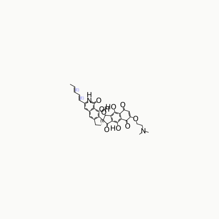 C/C=C/C=C/c1cc2cc3c(c(O)c2c(=O)[nH]1)[C@@]1(CC3)C(=O)c2c(O)c3c(c(O)c2C1=O)C(=O)C(OCCN(C)C)=CC3=O